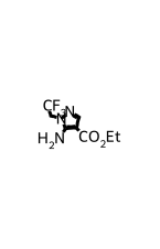 CCOC(=O)c1cnn(CC(F)(F)F)c1N